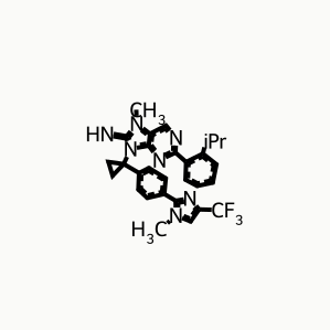 CC(C)c1ccccc1-c1ncc2c(n1)n(C1(c3ccc(-c4nc(C(F)(F)F)cn4C)cc3)CC1)c(=N)n2C